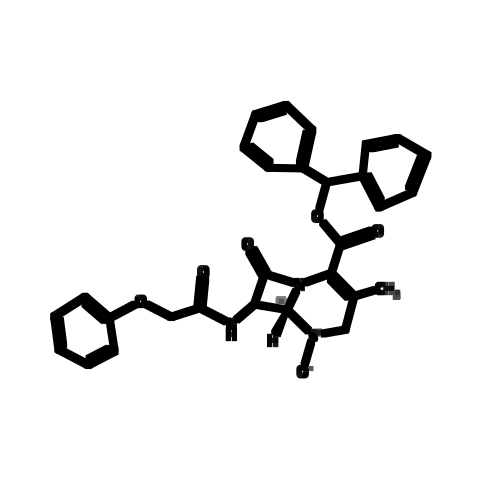 CC1=C(C(=O)OC(c2ccccc2)c2ccccc2)N2C(=O)C(NC(=O)COc3ccccc3)[C@H]2[S+]([O-])C1